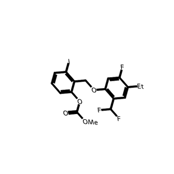 CCc1cc(C(F)F)c(OCc2c(I)cccc2OC(=O)OC)cc1F